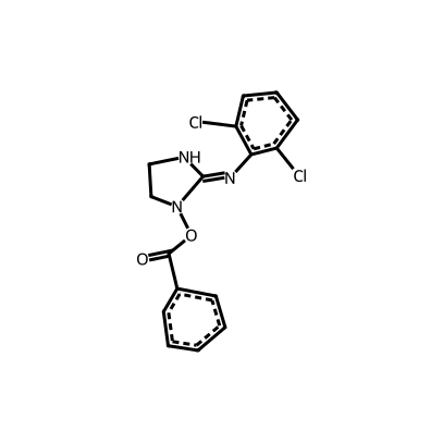 O=C(ON1CCN/C1=N\c1c(Cl)cccc1Cl)c1ccccc1